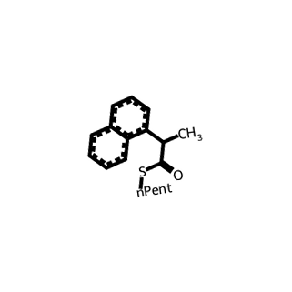 CCCCCSC(=O)C(C)c1cccc2ccccc12